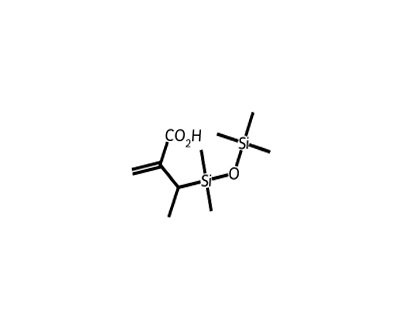 C=C(C(=O)O)C(C)[Si](C)(C)O[Si](C)(C)C